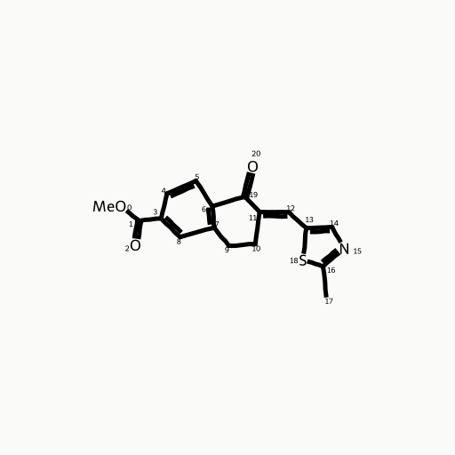 COC(=O)c1ccc2c(c1)CCC(=Cc1cnc(C)s1)C2=O